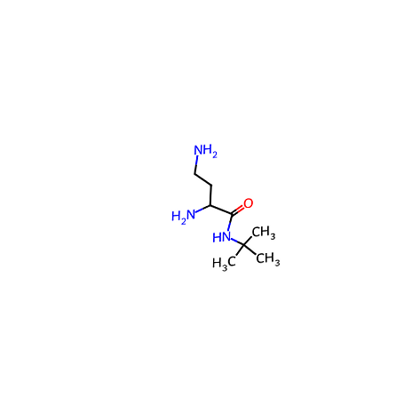 CC(C)(C)NC(=O)C(N)CCN